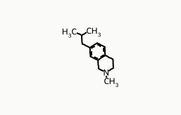 CC(C)Cc1ccc2c(c1)CN(C)CC2